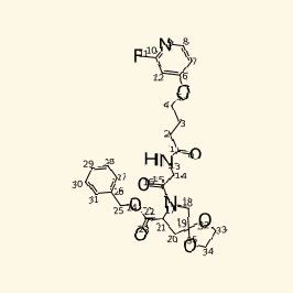 O=C(CCCOc1ccnc(F)c1)NCC(=O)N1CC2(C[C@H]1C(=O)OCc1ccccc1)OCCO2